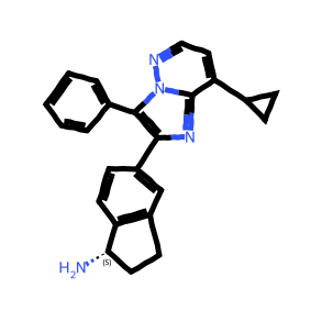 N[C@H]1CCc2cc(-c3nc4c(C5CC5)ccnn4c3-c3ccccc3)ccc21